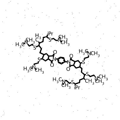 CC(C)C(CCC(C)C(CCC1CC2C(=O)N(c3ccc(N4C(=O)C5CC(CCC(SCCN(C)C)C(C)CCC(SCCN(C)C)C(C)C)C(SCCN(C)C)CC5C4=O)cc3)C(=O)C2CC1SCCN(C)C)SCCN(C)C)SCCN(C)C